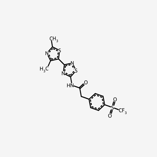 Cc1nc(C)c(-c2nsc(NC(=O)Cc3ccc(S(=O)(=O)C(F)(F)F)cc3)n2)s1